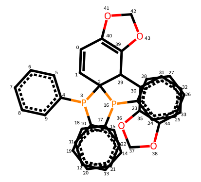 C1=CC(P(c2ccccc2)c2ccccc2)(P(c2ccccc2)c2ccccc2)C(c2cccc3c2OCO3)C2=C1OCO2